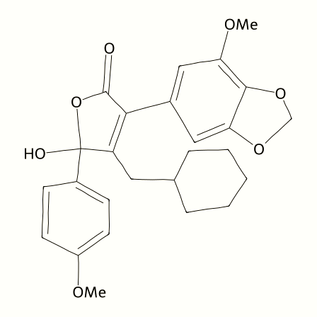 COc1ccc(C2(O)OC(=O)C(c3cc(OC)c4c(c3)OCO4)=C2CC2CCCCC2)cc1